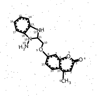 Cc1cc(=O)oc2cc(OCC3Nc4ccccc4N3N)ccc12